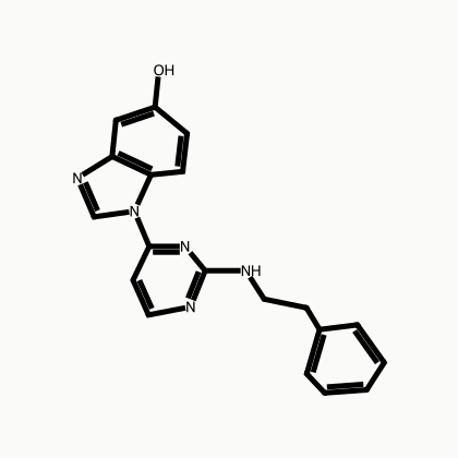 Oc1ccc2c(c1)ncn2-c1ccnc(NCCc2ccccc2)n1